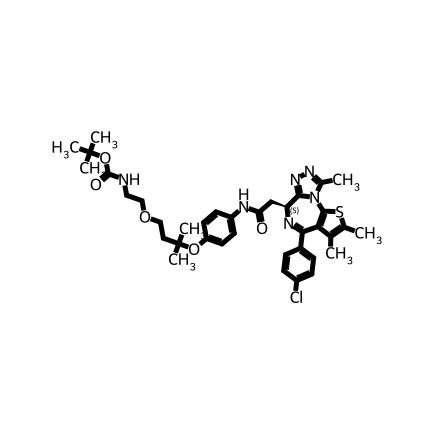 Cc1sc2c(c1C)C(c1ccc(Cl)cc1)=N[C@@H](CC(=O)Nc1ccc(OC(C)(C)CCOCCNC(=O)OC(C)(C)C)cc1)c1nnc(C)n1-2